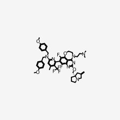 C=C1CN2CCC[C@@]2(COc2nc3c4c(c(F)c(-c5nc(N(Cc6ccc(OC)cc6)Cc6ccc(OC)cc6)cc(C)c5C(F)(F)F)c(F)c4n2)OCCN3CCN(C)C)C1